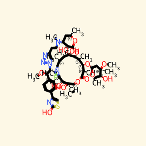 CC[C@H]1OC(=O)[C@H](C)[C@@H](O[C@H]2C[C@@](C)(OC)[C@@H](O)[C@H](C)O2)[C@H](C)[C@@H](O[C@@H]2O[C@H](C)C[C@H](N(C)CCc3cn([C@H](CF)[C@H](OC)c4ccc(-c5csc(O)n5)cc4)nn3)[C@H]2O)[C@](C)(O)C[C@@H](C)CN(C)[C@H](C)[C@@H](O)[C@]1(C)O